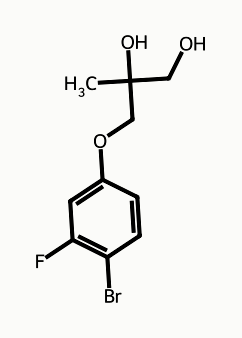 CC(O)(CO)COc1ccc(Br)c(F)c1